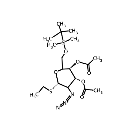 CCS[C@@H]1OC(CO[Si](C)(C)C(C)(C)C)[C@@H](OC(C)=O)[C@H](OC(C)=O)C1N=[N+]=[N-]